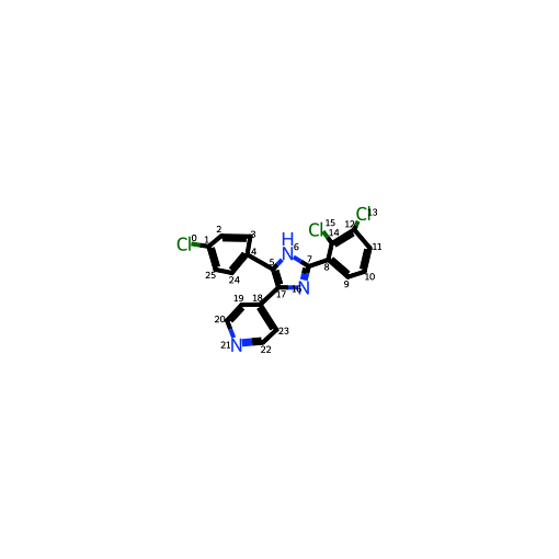 Clc1ccc(-c2[nH]c(-c3cccc(Cl)c3Cl)nc2-c2ccncc2)cc1